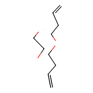 C=CCCOCCC=C.OCCO